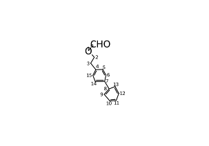 O=[C]OCCc1ccc(-c2ccccc2)cc1